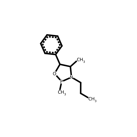 CCCN1C(C)C(c2ccccc2)OP1C